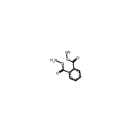 CCCOC(=O)c1ccccc1C(=O)ON